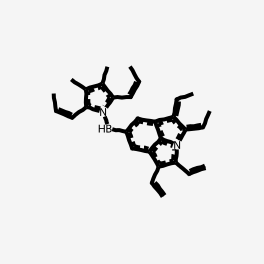 C=Cc1c(C=C)n2c(=C/C)/c(=C\C)c3cc(Bn4c(/C=C\C)c(C)c(C)c4/C=C\C)cc1c32